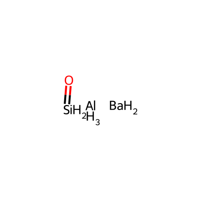 O=[SiH2].[AlH3].[BaH2]